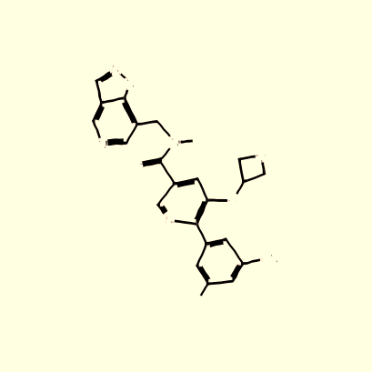 CN(Cc1cncc2cn[nH]c12)C(=O)c1cnc(-c2cc(F)cc(C#N)c2)c(OC2COC2)c1